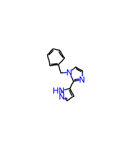 c1ccc(Cn2ccnc2-c2ccn[nH]2)cc1